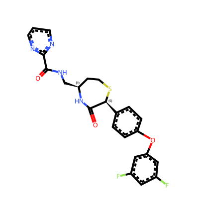 O=C(NC[C@H]1CCS[C@@H](c2ccc(Oc3cc(F)cc(F)c3)cc2)C(=O)N1)c1ncccn1